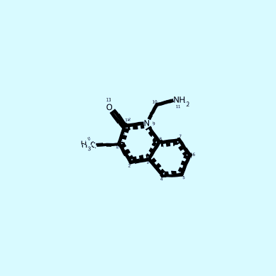 Cc1cc2ccccc2n(CN)c1=O